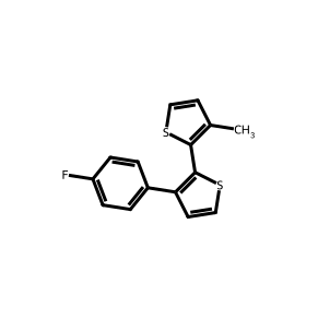 Cc1ccsc1-c1sccc1-c1ccc(F)cc1